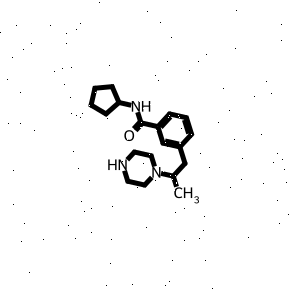 CC(Cc1cccc(C(=O)NC2CCCC2)c1)N1CCNCC1